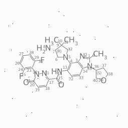 Cc1nc2c(N3C[C@H](N)C(C)(C)C3)c(NC(=O)c3ccc(=O)n(-c4c(F)cccc4F)n3)ccc2n1[C@H]1CCOC1